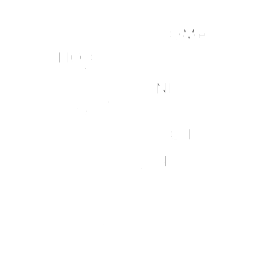 COCc1[nH]c(C)c(-c2ccc(F)cc2F)c(=O)c1C(=O)O